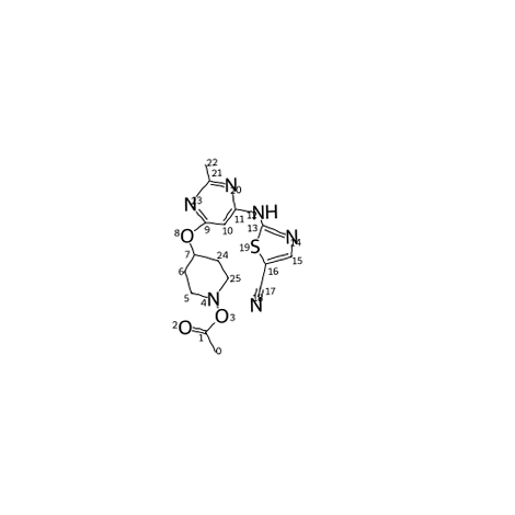 CC(=O)ON1CCC(Oc2cc(Nc3ncc(C#N)s3)nc(C)n2)CC1